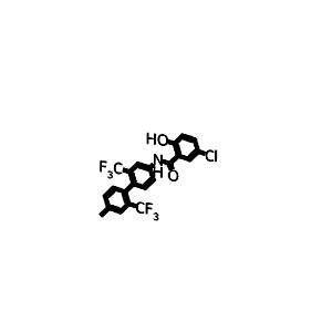 Cc1ccc(-c2ccc(NC(=O)c3cc(Cl)ccc3O)cc2C(F)(F)F)c(C(F)(F)F)c1